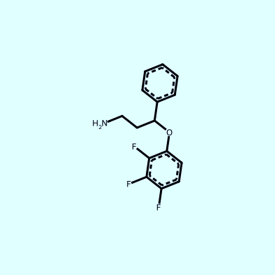 NCCC(Oc1ccc(F)c(F)c1F)c1ccccc1